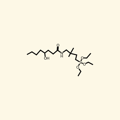 CCCCC(O)CCC(=O)NCC(C)(C)CC[Si](OCC)(OCC)OCC